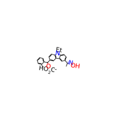 CC(=O)O.CCn1c2ccc(C(=O)c3ccccc3C)cc2c2cc(/C(C)=N/O)ccc21